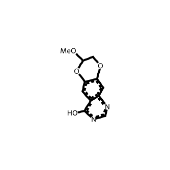 COC1COc2cc3ncnc(O)c3cc2O1